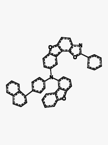 c1ccc(-c2nc3ccc4oc5ccc(N(c6ccc(-c7cccc8ccccc78)cc6)c6cccc7oc8ccccc8c67)cc5c4c3o2)cc1